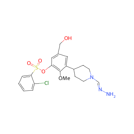 COc1c(OS(=O)(=O)c2ccccc2Cl)cc(CO)cc1C1CCN(C=NN)CC1